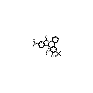 COc1cc(-c2ccccc2N2C(=O)c3ccc([N+](=O)[O-])cc3C2=O)cc(C(C)(C)C)c1O